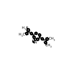 Cc1ccc2c(c1)c1cc(C)ccc1n2-c1ccc(N(c2ccccc2)c2ccc(-c3nccnc3-c3ccc(N(c4ccccc4)c4ccc(-n5c6ccc(C)cc6c6cc(C)ccc65)cc4)cc3)cc2)cc1